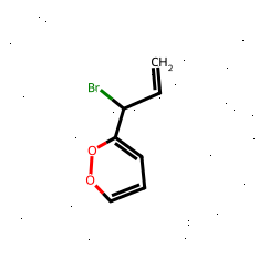 C=CC(Br)C1=CC=COO1